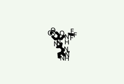 O=C(CC1(n2cc(-c3ncnc4[nH]ccc34)cn2)CCS(=O)(=O)CC1)NCC(F)(F)F